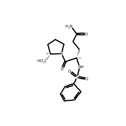 NC(=O)CC[C@H](NS(=O)(=O)c1ccccc1)C(=O)N1CCC[C@H]1C(=O)O